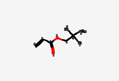 C=CC(=O)OCC(CC)(CC)CCCC